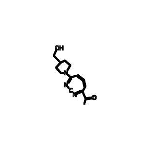 CC(=O)/C1=N/C/N=C(/N2CCC(CO)CC2)C=C=C1